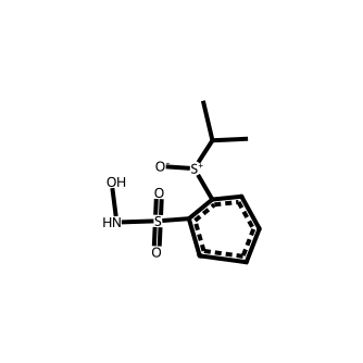 CC(C)[S+]([O-])c1ccccc1S(=O)(=O)NO